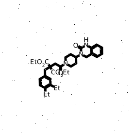 CCOC(=O)C(CC(=O)N1CCC(N2Cc3ccccc3NC2=O)CC1)(Cc1ccc(CC)c(CC)c1)C(=O)OCC